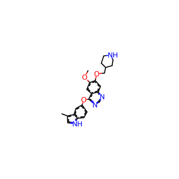 COc1cc2c(Oc3ccc4[nH]cc(C)c4c3)ncnc2cc1OCC1CCNCC1